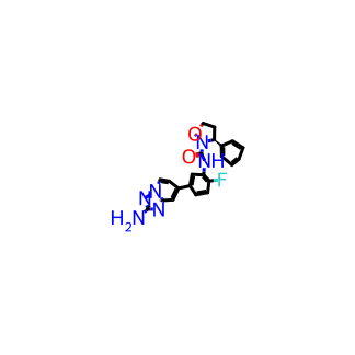 Nc1nc2cc(-c3ccc(F)c(NC(=O)N4OCC[C@H]4c4ccccc4)c3)ccn2n1